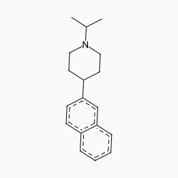 CC(C)N1CCC(c2ccc3ccccc3c2)CC1